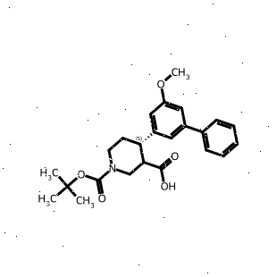 COc1cc(-c2ccccc2)cc([C@H]2CCN(C(=O)OC(C)(C)C)CC2C(=O)O)c1